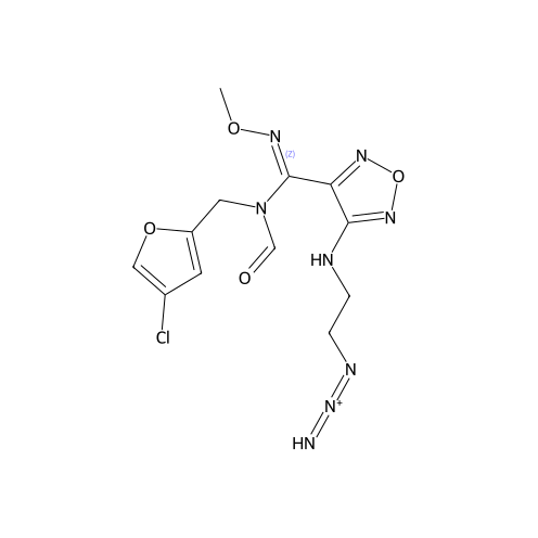 CO/N=C(/c1nonc1NCCN=[N+]=N)N(C=O)Cc1cc(Cl)co1